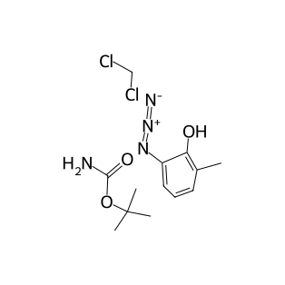 CC(C)(C)OC(N)=O.Cc1cccc(N=[N+]=[N-])c1O.ClCCl